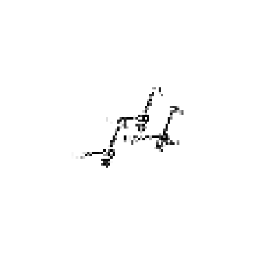 CCCCCCCCCc1cccc(OP([O-])(=S)[S-])c1CCCCCCCCC.CCCCCCCCCc1cccc(OP([O-])(=S)[S-])c1CCCCCCCCC.CCCCCCCCCc1cccc(OP([O-])(=S)[S-])c1CCCCCCCCC.[Mo+6]